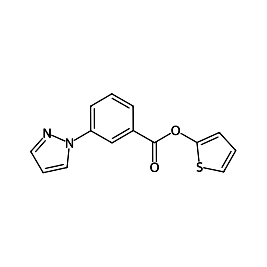 O=C(Oc1cccs1)c1cccc(-n2cccn2)c1